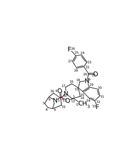 CCOC(=O)N1C2CCC1CC(N1CCC3(CC1)CN(C(=O)c1ccc(F)cc1)c1ccc(F)cc13)C2